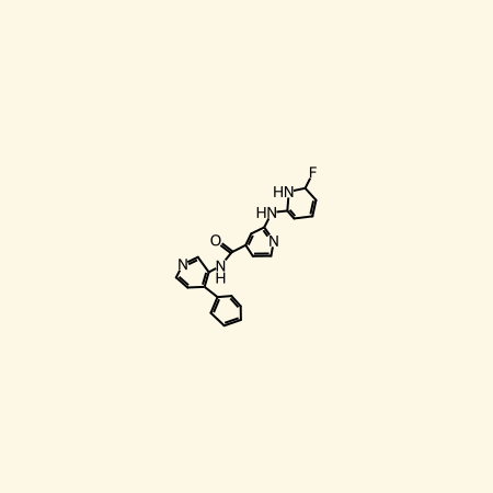 O=C(Nc1cnccc1-c1ccccc1)c1ccnc(NC2=CC=CC(F)N2)c1